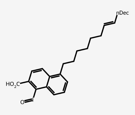 CCCCCCCCCCC=CCCCCCCc1cccc2c(I=O)c(C(=O)O)ccc12